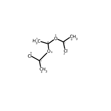 CC(Cl)OC(C)OC(C)Cl